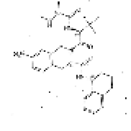 CN[C@@H](C)C(=O)N[C@H](C(=O)N1Cc2cc(N)ccc2C[C@H]1C(=O)N[C@@H]1CCCc2ccccc21)C(C)(C)C